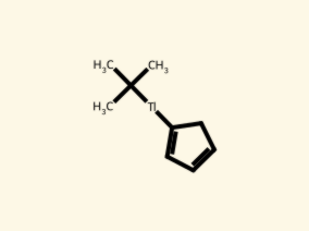 C[C](C)(C)[Tl][C]1=CC=CC1